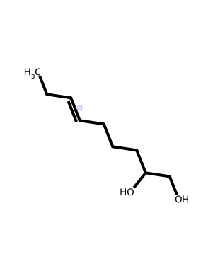 CC/C=C/CCCC(O)CO